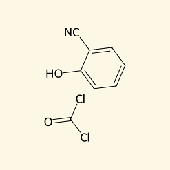 N#Cc1ccccc1O.O=C(Cl)Cl